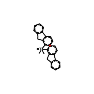 [CH2]=[Ti]([CH3])([CH3])([c]1cccc2c1Cc1ccccc1-2)[c]1cccc2c1Cc1ccccc1-2